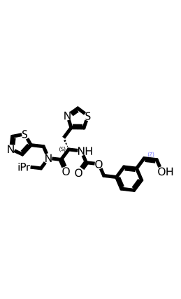 CC(C)CN(Cc1cncs1)C(=O)[C@H](Cc1cscn1)NC(=O)OCc1cccc(/C=C\O)c1